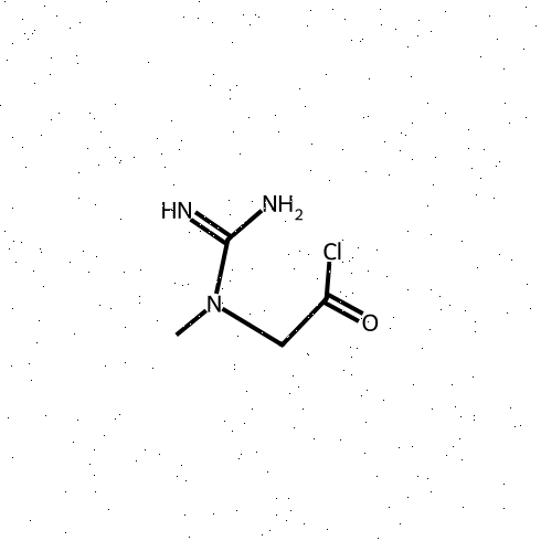 CN(CC(=O)Cl)C(=N)N